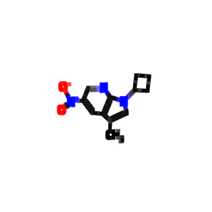 Cc1cn(C2CCC2)c2ncc([N+](=O)[O-])cc12